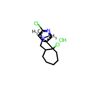 CN(C)CC1CCCCCC1(Cl)c1ccc(Cl)nc1.Cl